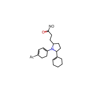 CC(=O)C1=CC=C(N2C(CCC(=O)N=O)CCC2C2=CCCCC2)CC1